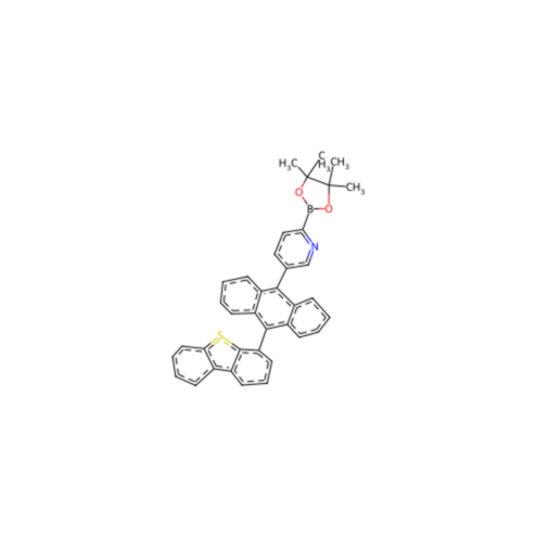 CC1(C)OB(c2ccc(-c3c4ccccc4c(-c4cccc5c4sc4ccccc45)c4ccccc34)cn2)OC1(C)C